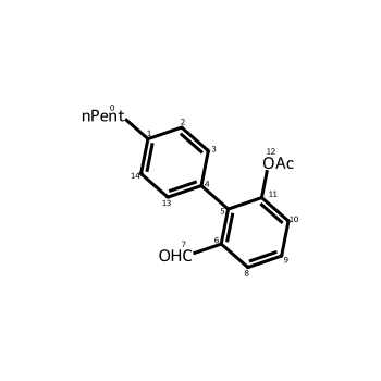 CCCCCc1ccc(-c2c(C=O)cccc2OC(C)=O)cc1